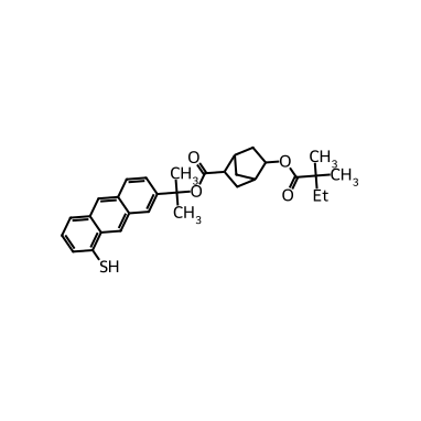 CCC(C)(C)C(=O)OC1CC2CC1CC2C(=O)OC(C)(C)c1ccc2cc3cccc(S)c3cc2c1